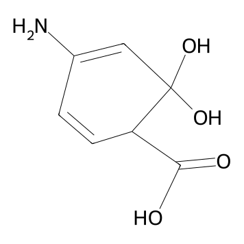 NC1=CC(O)(O)C(C(=O)O)C=C1